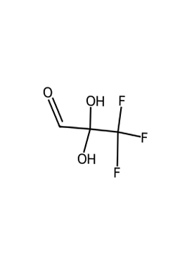 O=CC(O)(O)C(F)(F)F